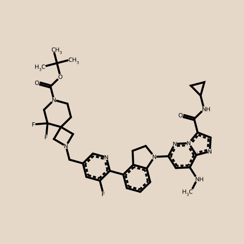 CNc1cc(N2CCc3c(-c4ncc(CN5CC6(CCN(C(=O)OC(C)(C)C)CC6(F)F)C5)cc4F)cccc32)nn2c(C(=O)NC3CC3)cnc12